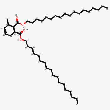 CCCCCCCCCCCCCCCCCCOC(=O)C1CC=CC(C)C1C(=O)OCCCCCCCCCCCCCCCCCC